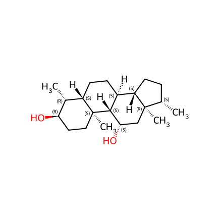 C[C@H]1[C@H](O)CC[C@]2(C)[C@@H]3[C@@H](CC[C@@H]12)[C@@H]1CC[C@H](C)[C@@]1(C)C[C@@H]3O